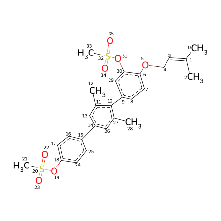 CC(C)=CCOc1ccc(-c2c(C)cc(-c3ccc(OS(C)(=O)=O)cc3)cc2C)cc1OS(C)(=O)=O